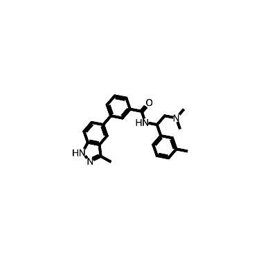 Cc1cccc(C(CN(C)C)NC(=O)c2cccc(-c3ccc4[nH]nc(C)c4c3)c2)c1